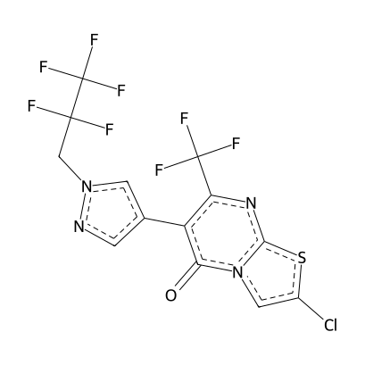 O=c1c(-c2cnn(CC(F)(F)C(F)(F)F)c2)c(C(F)(F)F)nc2sc(Cl)cn12